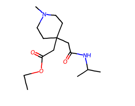 CCOC(=O)CC1(CC(=O)NC(C)C)CCN(C)CC1